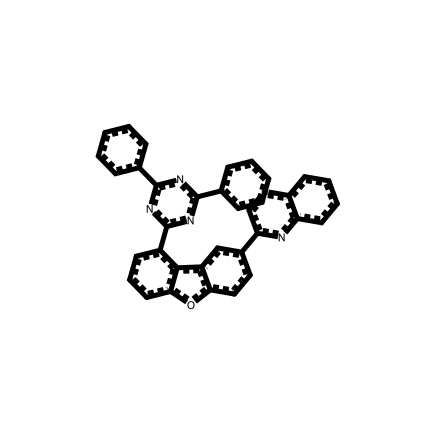 c1ccc(-c2nc(-c3ccccc3)nc(-c3cccc4oc5ccc(-c6cnc7ccccc7n6)cc5c34)n2)cc1